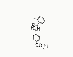 Cc1ccccc1-c1nc(-c2ccc(C(=O)O)cc2)no1